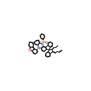 C=CC/C=C1\C(=C/CC)C2(c3ccccc31)c1ccccc1-c1c(N(c3ccccc3Nc3cccc4oc5ccccc5c34)[PH](=O)c3ccccc3)cccc12